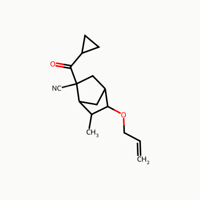 C=CCOC1C2CC(C1C)C(C#N)(C(=O)C1CC1)C2